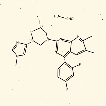 Cc1cc2c(-c3ccc(F)cc3F)nc(N3C[C@@H](C)O[C@@H](c4cn(C)cn4)C3)nc2nc1C.O=CO